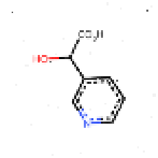 O=C(O)C(O)c1cccnc1